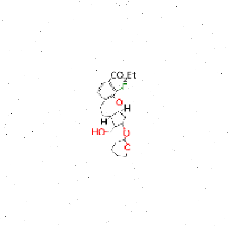 CCOC(=O)c1ccc2c(c1F)O[C@H]1C[C@@H](OC3CCCCO3)[C@H](CO)[C@H]1CC2